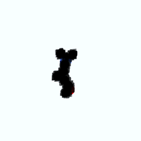 c1ccc(-c2cc(-c3ccccc3)nc(-c3ccc(-c4ccc5c(c4)c4ccccc4n5-c4ccc(-c5ccc6oc7ccccc7c6c5)cc4)cc3)n2)cc1